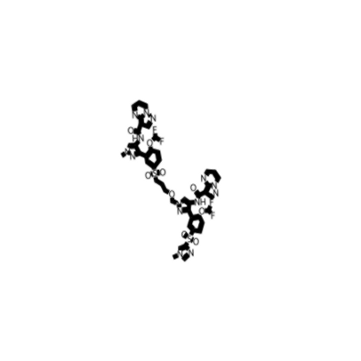 Cn1cnc(S(=O)(=O)c2ccc(OC(F)F)c(-c3nn(COCCCS(=O)(=O)c4ccc(OC(F)F)c(-c5nn(C)cc5NC(=O)c5cnn6cccnc56)c4)cc3NC(=O)c3cnn4cccnc34)c2)c1